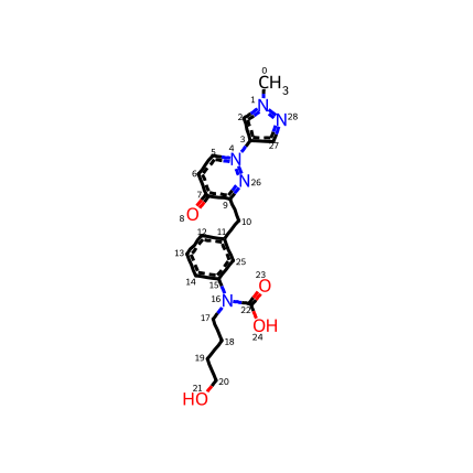 Cn1cc(-n2ccc(=O)c(Cc3cccc(N(CCCCO)C(=O)O)c3)n2)cn1